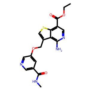 CCOC(=O)c1cnc(N)c2c(COc3cncc(C(=O)NC)c3)csc12